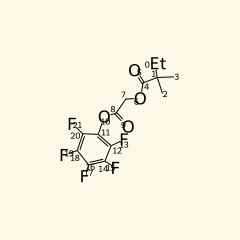 CCC(C)(C)C(=O)OCC(=O)Oc1c(F)c(F)c(F)c(F)c1F